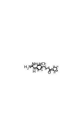 Cl.N=C(N)Nc1ccc(CCCC(=O)N2CCSC2)cc1